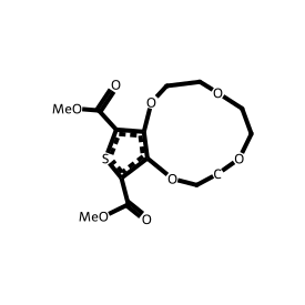 COC(=O)c1sc(C(=O)OC)c2c1OCCOCCOCCO2